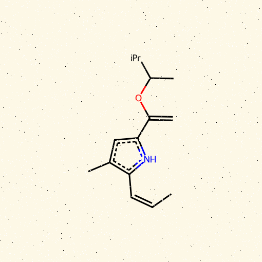 C=C(OC(C)C(C)C)c1cc(C)c(/C=C\C)[nH]1